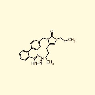 CCCCc1cn(CCC)c(=O)n1Cc1ccc(-c2ccccc2-c2nnn[nH]2)cc1